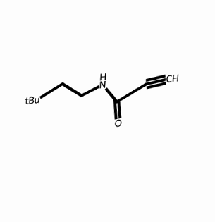 C#CC(=O)NCCC(C)(C)C